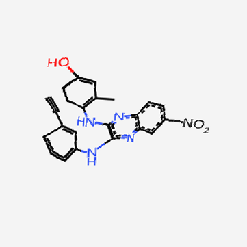 C#CC1=CC(Nc2nc3cc([N+](=O)[O-])ccc3nc2NC2=C(C)C=C(O)CC2)=C=C=C1